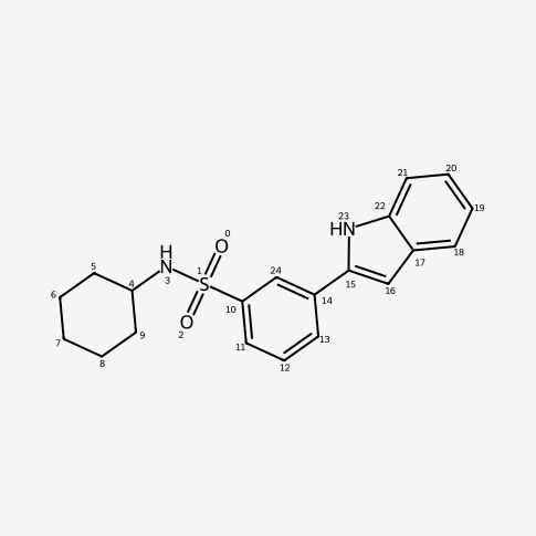 O=S(=O)(NC1CCCCC1)c1cccc(-c2cc3ccccc3[nH]2)c1